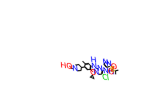 Cc1cc(Nc2ncc(Cl)c(Nc3cn(C)nc3S(=O)(=O)C(C)C)n2)c(OC2CC2)cc1C1CCN(CO)CC1